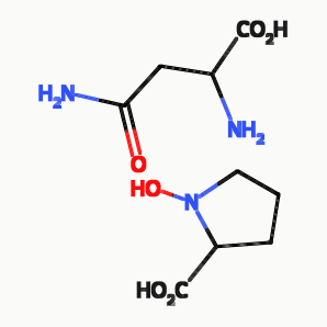 NC(=O)CC(N)C(=O)O.O=C(O)C1CCCN1O